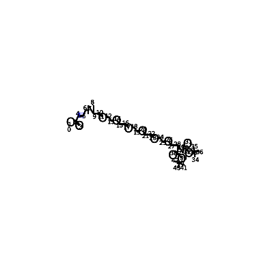 COC(=O)/C=C/CN(C)CCOCCOCCOCCOCCOCCOCCN(C(=O)OC(C)(C)C)C(=O)OC(C)(C)C